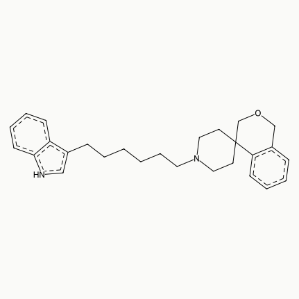 c1ccc2c(c1)COCC21CCN(CCCCCCc2c[nH]c3ccccc23)CC1